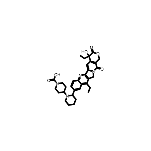 CCc1c2c(nc3ccc(C4CCCCN4C4CCN(C(=O)O)CC4)cc13)-c1cc3c(c(=O)n1C2)COC(=O)C3(O)CC